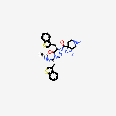 CN(C(=O)[C@@H](Cc1csc2ccccc12)NC(=O)C1(N)CCNCC1)[C@H](Cc1csc2ccccc12)NC=O